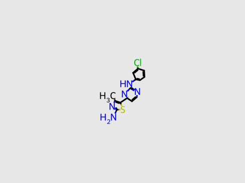 Cc1nc(N)sc1-c1ccnc(Nc2cccc(Cl)c2)n1